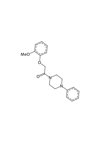 COc1ccccc1OCC(=O)N1CCN(c2ccccc2)CC1